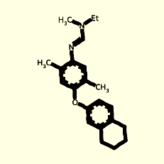 CCN(C)C=Nc1cc(C)c(Oc2ccc3c(c2)CCCC3)cc1C